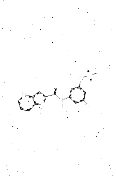 CS(=O)(=O)Nc1cc(Cl)cc(NC(=O)c2cc3ncccc3s2)c1